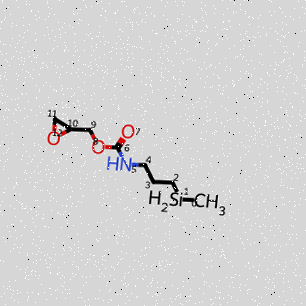 C[SiH2]CCCNC(=O)OCC1CO1